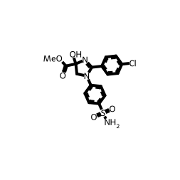 COC(=O)C1(O)CN(c2ccc(S(N)(=O)=O)cc2)C(c2ccc(Cl)cc2)=N1